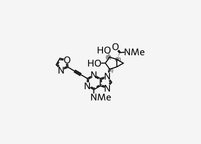 CNC(=O)[C@]12CC1[C@@H](n1cnc3c(NC)nc(C#Cc4ncco4)nc31)C(O)[C@@H]2O